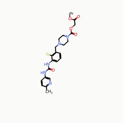 Cc1ccc(NC(=O)Nc2cccc(CN3CCN(C(=O)OCC(=O)OC(C)C)CC3)c2F)cn1